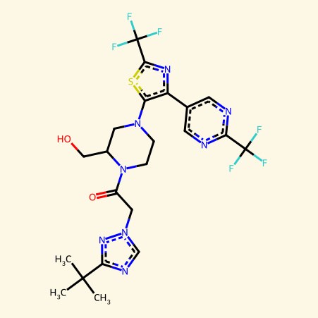 CC(C)(C)c1ncn(CC(=O)N2CCN(c3sc(C(F)(F)F)nc3-c3cnc(C(F)(F)F)nc3)CC2CO)n1